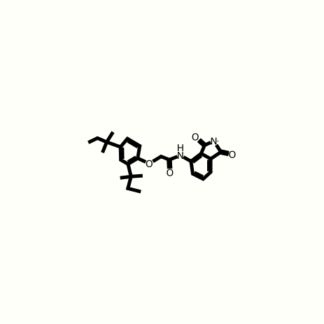 CCC(C)(C)c1ccc(OCC(=O)Nc2cccc3c2C(=O)[N]C3=O)c(C(C)(C)CC)c1